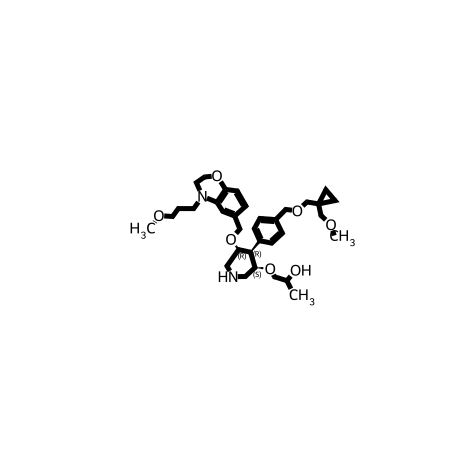 COCCCN1CCOc2ccc(CO[C@H]3CNC[C@@H](OCC(C)O)[C@@H]3c3ccc(COCC4(COC)CC4)cc3)cc21